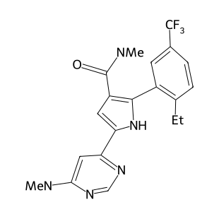 CCc1ccc(C(F)(F)F)cc1-c1[nH]c(-c2cc(NC)ncn2)cc1C(=O)NC